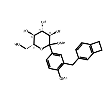 COc1ccc(C2(OC)O[C@H](CO)[C@@H](O)[C@H](O)[C@H]2O)cc1Cc1ccc2c(c1)CC2